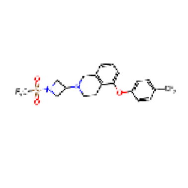 O=S(=O)(N1CC(N2CCc3c(cccc3Oc3ccc(C(F)(F)F)cc3)C2)C1)C(F)(F)F